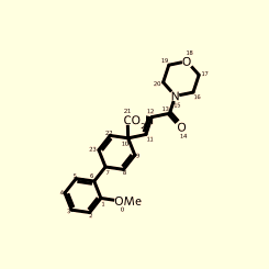 COc1ccccc1C1C=CC(/C=C/C(=O)N2CCOCC2)(C(=O)O)C=C1